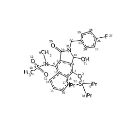 CC(C)[Si](Oc1c2c(c(N(C)S(C)(=O)=O)c3cccnc13)C(=O)N(Cc1ccc(F)cc1)C2O)(C(C)C)C(C)C